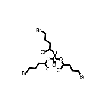 O=P(OC(Cl)CCCBr)(OC(Cl)CCCBr)OC(Cl)CCCBr